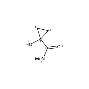 CNC(=O)C1(O)CC1